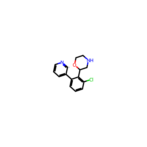 Clc1cccc(-c2[c]nccc2)c1C1CNCCO1